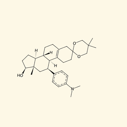 CN(C)c1ccc([C@H]2C[C@]3(C)[C@@H](O)CC[C@H]3[C@@H]3CCC4=C(CCC5(C4)OCC(C)(C)CO5)[C@H]32)cc1